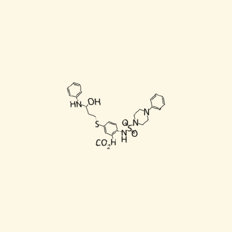 O=C(O)c1cc(SCCC(O)Nc2ccccc2)ccc1NS(=O)(=O)N1CCN(c2ccccc2)CC1